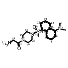 CN(C)c1cccc2c([SH](=O)(I)N3CCN(C(=O)CN)CC3)cccc12